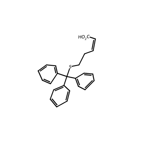 O=C(O)/C=C\CCSC(c1ccccc1)(c1ccccc1)c1ccccc1